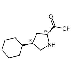 O=C(O)[C@@H]1C[C@H](C2CCCCC2)CN1